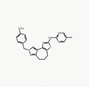 COc1ccc(Cn2cc3c(n2)CCCc2sc(Nc4ncc(F)cn4)nc2-3)cc1